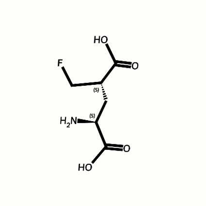 N[C@@H](C[C@H](CF)C(=O)O)C(=O)O